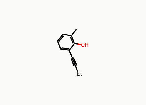 CCC#Cc1cccc(C)c1O